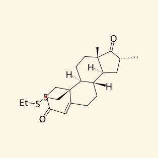 CCSSC[C@]12CCC(=O)C=C1CC[C@@H]1[C@@H]2CC[C@]2(C)C(=O)[C@H](C)C[C@@H]12